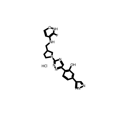 Cl.Oc1cc(-c2cn[nH]c2)ccc1-c1cnc(N2CCC(CNC3=C(F)NOC=C3)C2)nn1